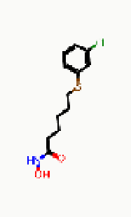 O=C(CCCCCSc1cccc(Cl)c1)NO